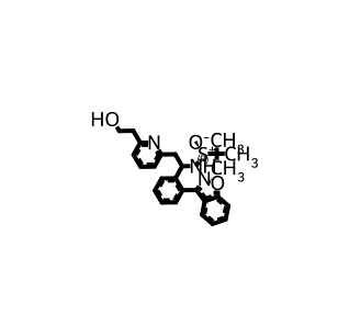 CC(C)(C)[S@+]([O-])NC(Cc1cccc(CCO)n1)c1ccccc1-c1noc2ccccc12